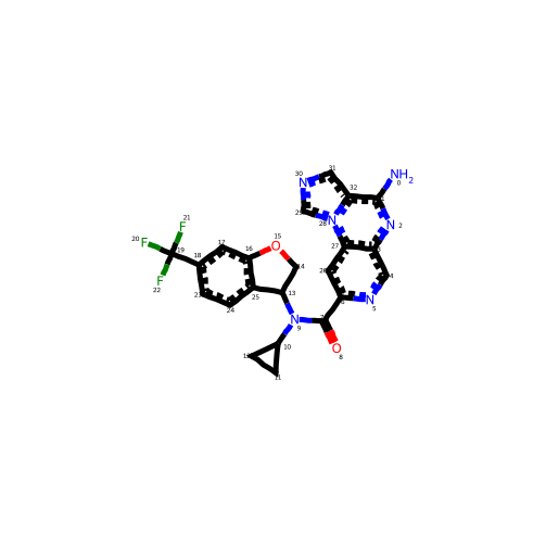 Nc1nc2cnc(C(=O)N(C3CC3)C3COc4cc(C(F)(F)F)ccc43)cc2n2cncc12